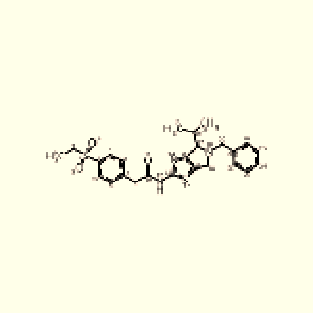 CCS(=O)(=O)c1ccc(CC(=O)Nc2nc3c(s2)CN(Cc2ccccc2)C3C(C)C)cc1